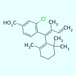 C=CC(C)=C(C1=C(C)CCCC1(C)C)c1ccc(C(=O)O)cc1Cl